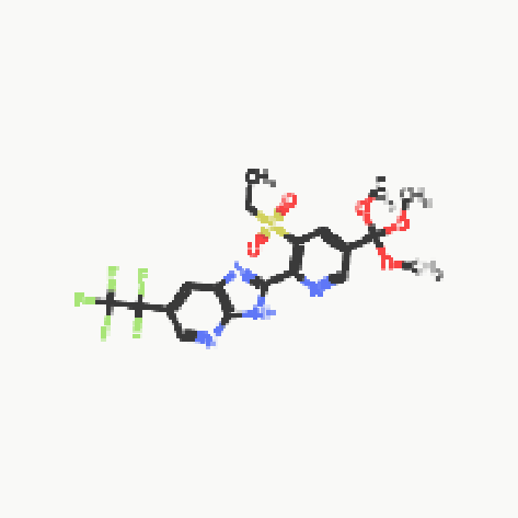 CCS(=O)(=O)c1cc(C(OC)(OC)OC)cnc1-c1nc2cc(C(F)(F)C(F)(F)F)cnc2[nH]1